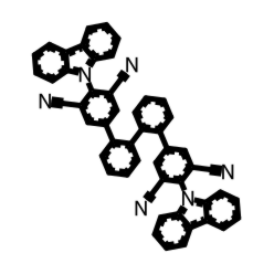 N#Cc1cc(-c2ccccc2-c2ccccc2-c2cc(C#N)c(-n3c4ccccc4c4ccccc43)c(C#N)c2)cc(C#N)c1-n1c2ccccc2c2ccccc21